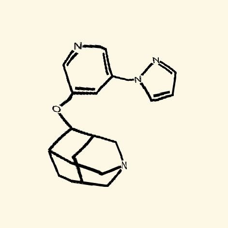 c1cnn(-c2cncc(OC3C4CC5CC3CN(C5)C4)c2)c1